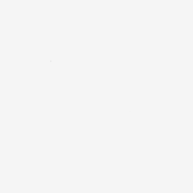 O=C(O)c1ccc(/C=C/Cc2ccccc2)cc1